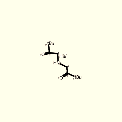 Br.CC(C)(C)C(=O)CNCC(=O)C(C)(C)C